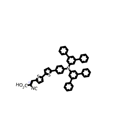 [C-]#[N+]/C(=C\c1ccc(-c2ccc(-c3ccc(N(c4cc(-c5ccccc5)cc(-c5ccccc5)c4)c4cc(-c5ccccc5)cc(-c5ccccc5)c4)cc3)s2)s1)C(=O)O